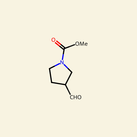 COC(=O)N1CCC(C=O)C1